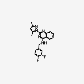 Cc1cc(C)n(-c2nc(NCc3ccc(F)c(F)c3)c3ccccc3n2)n1